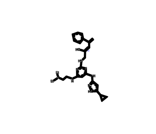 C=C(/C=C(\O)CNc1nc(NCCN(CC)CC)cc(Nc2cc(C3CC3)[nH]n2)n1)c1ccccc1